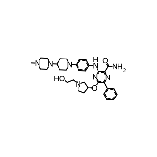 CN1CCN(C2CCN(c3ccc(Nc4nc(O[C@H]5CCN(CCO)C5)c(-c5ccccc5)nc4C(N)=O)cc3)CC2)CC1